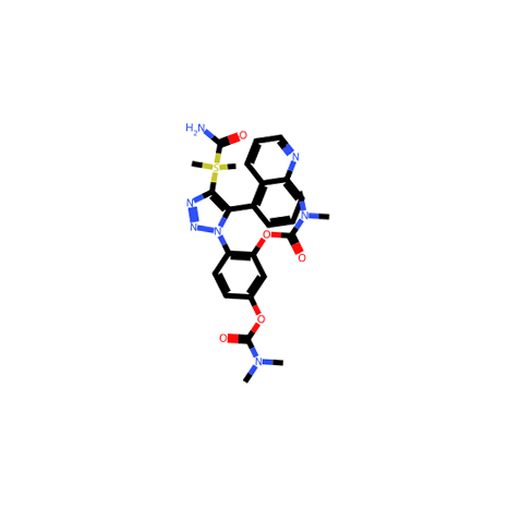 CN(C)C(=O)Oc1ccc(-n2nnc(S(C)(C)C(N)=O)c2-c2cccc3ncccc23)c(OC(=O)N(C)C)c1